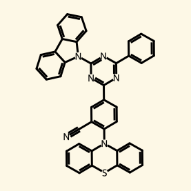 N#Cc1cc(-c2nc(-c3ccccc3)nc(-n3c4ccccc4c4ccccc43)n2)ccc1N1c2ccccc2Sc2ccccc21